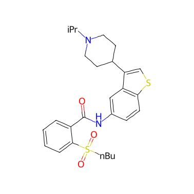 CCCCS(=O)(=O)c1ccccc1C(=O)Nc1ccc2scc(C3CCN(C(C)C)CC3)c2c1